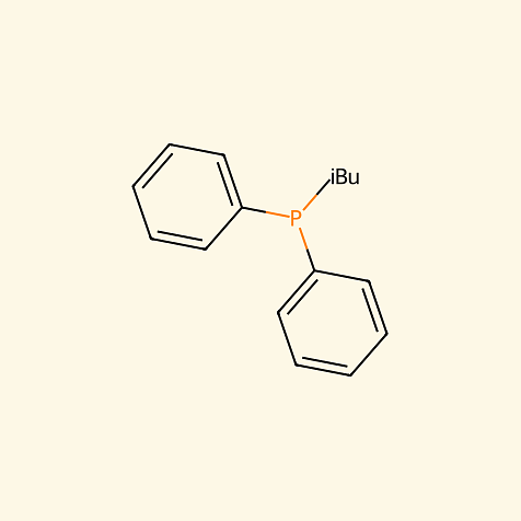 CCC(C)P(c1ccccc1)c1ccccc1